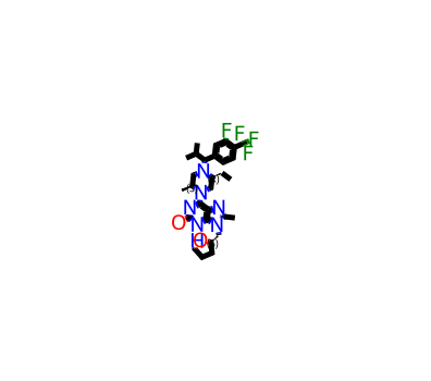 CC[C@@H]1CN(c2nc(=O)[nH]c3c2nc(C)n3C[C@@H]2CCCO2)[C@@H](C)CN1C(c1ccc(C(F)(F)F)c(F)c1)C(C)C